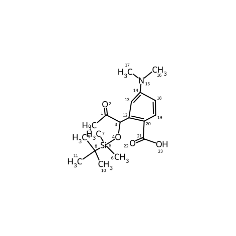 CC(=O)C(O[Si](C)(C)C(C)(C)C)c1cc(N(C)C)ccc1C(=O)O